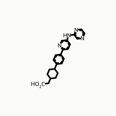 O=C(O)CC1CCC(c2ccc(-c3ccc(Nc4cnccn4)cn3)cc2)CC1